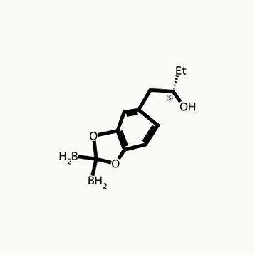 BC1(B)Oc2ccc(C[C@@H](O)CC)cc2O1